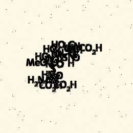 COc1nc(C(SC[C@H](NC(=O)CC[C@@H](N)C(=O)O)C(=O)NCC(=O)O)C2CCCC(C(SC[C@H](NC(=O)CC[C@H](N)C(=O)O)C(=O)NCC(=O)O)c3cnc(O)c(C)n3)C2=O)cnc1O